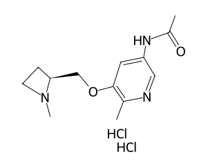 CC(=O)Nc1cnc(C)c(OC[C@@H]2CCN2C)c1.Cl.Cl